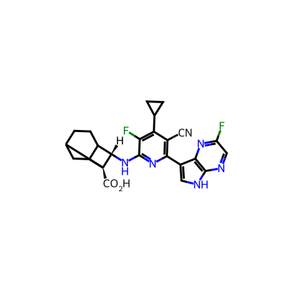 N#Cc1c(-c2c[nH]c3ncc(F)nc23)nc(N[C@H]2C3CCC4CC3[C@@]42C(=O)O)c(F)c1C1CC1